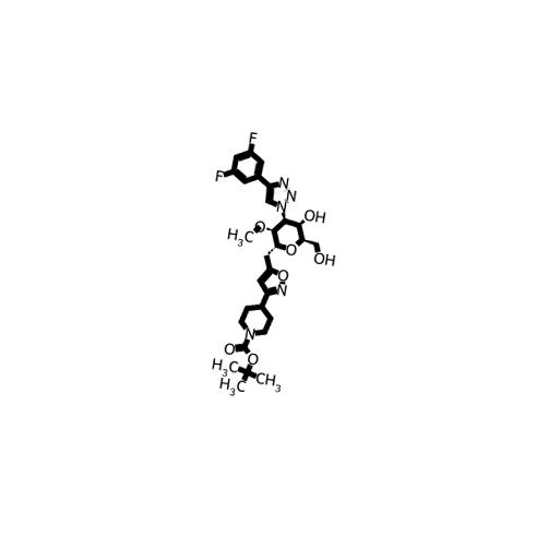 CO[C@@H]1[C@@H](n2cc(-c3cc(F)cc(F)c3)nn2)[C@@H](O)[C@@H](CO)O[C@@H]1Cc1cc(C2CCN(C(=O)OC(C)(C)C)CC2)no1